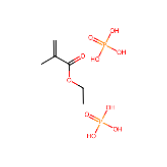 C=C(C)C(=O)OCC.O=P(O)(O)O.O=P(O)(O)O